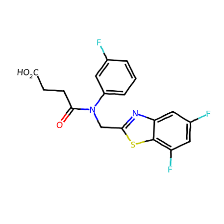 O=C(O)CCC(=O)N(Cc1nc2cc(F)cc(F)c2s1)c1cccc(F)c1